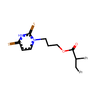 CC(C)CC(C(=O)OCCCn1ccc(=S)[nH]c1=S)C(C)C